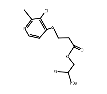 CCCCC(CC)COC(=O)CCSc1ccnc(C)c1Cl